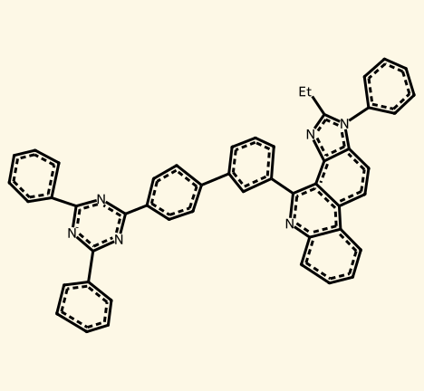 CCc1nc2c3c(-c4cccc(-c5ccc(-c6nc(-c7ccccc7)nc(-c7ccccc7)n6)cc5)c4)nc4ccccc4c3ccc2n1-c1ccccc1